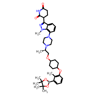 Cc1c(OC2CCC(OC[C@@H](C)N3CCN(c4cccc5c(C6CCC(=O)NC6=O)nn(C)c45)CC3)CC2)cccc1B1OC(C)(C)C(C)(C)O1